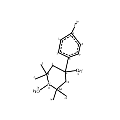 CC1(C)CC(O)(c2ccc(F)cc2)CC(C)(C)N1O